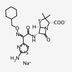 CC1(C)S[C@@H]2[C@@H](NC(=O)/C(=N\OCC3CCCCC3)c3csc(N)n3)C(=O)N2[C@H]1C(=O)[O-].[Na+]